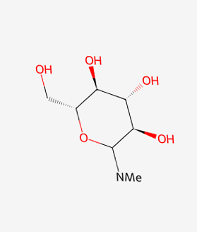 CNC1O[C@H](CO)[C@@H](O)[C@H](O)[C@H]1O